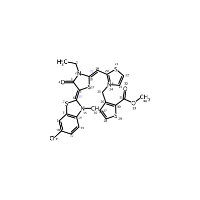 CCn1c(=O)/c(=C2\Sc3cc(Cl)ccc3N2C)s/c1=C\c1scc[n+]1Cc1ccsc1C(=O)OC